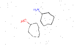 NC1CCCCC1.OC1CCCCC1